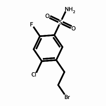 NS(=O)(=O)c1cc(CCBr)c(Cl)cc1F